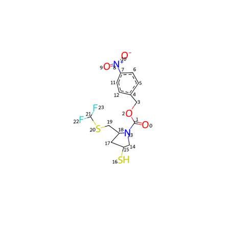 O=C(OCc1ccc([N+](=O)[O-])cc1)N1CC(S)CC1CSC(F)F